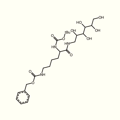 CC(C)(C)OC(=O)NC(CCCCNC(=O)OCc1ccccc1)C(=O)NCC(O)C(O)C(O)C(O)CO